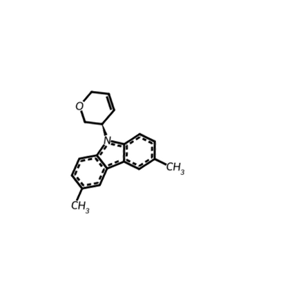 Cc1ccc2c(c1)c1cc(C)ccc1n2[C@@H]1C=CCOC1